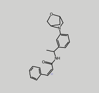 CC(NC(=O)/C=C\c1ccccc1)c1cccc(N2CC3CC2CO3)c1